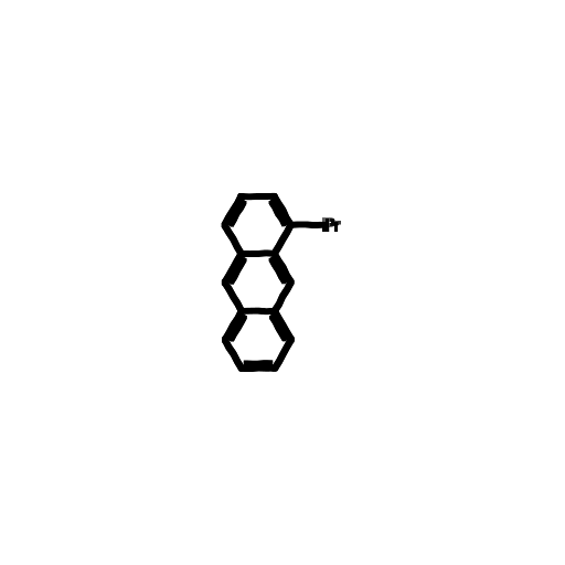 CC(C)c1cccc2cc3ccccc3cc12